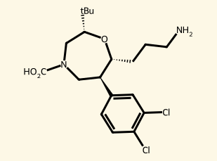 CC(C)(C)[C@H]1CN(C(=O)O)C[C@H](c2ccc(Cl)c(Cl)c2)[C@@H](CCCN)O1